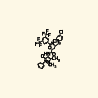 Cc1c(NC(=O)CCC(Cc2ccc(Cl)cc2)N(C)C(=O)c2cc(C(F)(F)F)cc(C(F)(F)F)c2)c(=O)n(-c2ccccc2)n1C